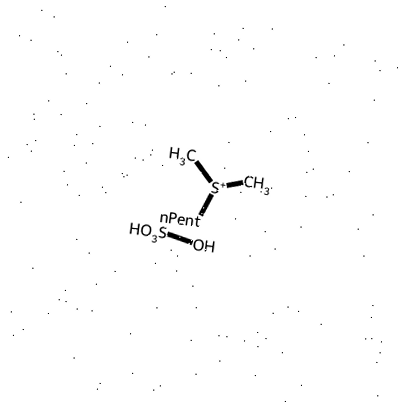 CCCCC[S+](C)C.O=S(=O)(O)O